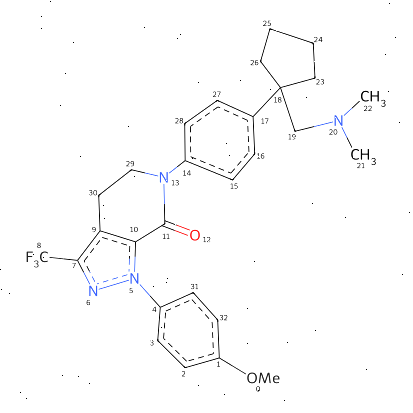 COc1ccc(-n2nc(C(F)(F)F)c3c2C(=O)N(c2ccc(C4(CN(C)C)CCCC4)cc2)CC3)cc1